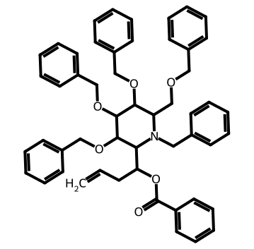 C=CCC(OC(=O)c1ccccc1)C1C(OCc2ccccc2)C(OCc2ccccc2)C(OCc2ccccc2)C(COCc2ccccc2)N1Cc1ccccc1